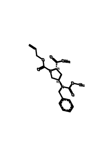 C=CCOC(=O)N1C[C@H](N(Cc2ccccc2)C(=O)OC(C)(C)C)C[C@H]1C(=O)OC